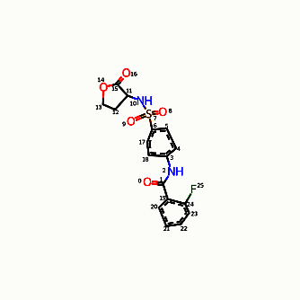 O=C(Nc1ccc(S(=O)(=O)NC2CCOC2=O)cc1)c1ccccc1F